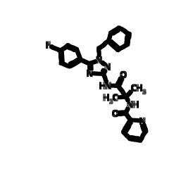 CC(C)(NC(=O)c1ccccn1)C(=O)Nc1nc(-c2ccc(F)cc2)n(Cc2ccccc2)n1